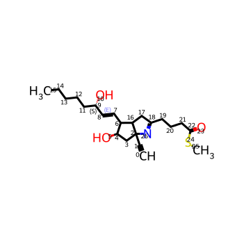 C#CC12CC(O)C(/C=C/[C@@H](O)CCCCC)C1CC(CCCC(=O)SC)=N2